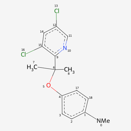 CNc1ccc(OC(C)(C)c2ncc(Cl)cc2Cl)cc1